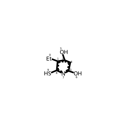 CCc1c(O)cc(O)nc1S